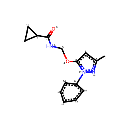 Cc1cc(OCNC(=O)C2CC2)n(-c2ccccc2)n1